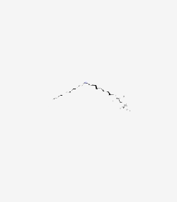 CCCCCCCCCCC/C=C\CCCCCCC(=O)NCC(O)COP(=O)(O)O